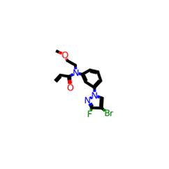 C=CC(=O)N(CCOC)c1cccc(-n2cc(Br)c(F)n2)c1